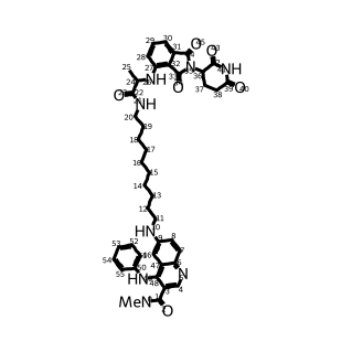 CNC(=O)c1cnc2ccc(NCCCCCCCCCCNC(=O)C(C)Nc3cccc4c3C(=O)N(C3CCC(=O)NC3=O)C4=O)cc2c1Nc1ccccc1